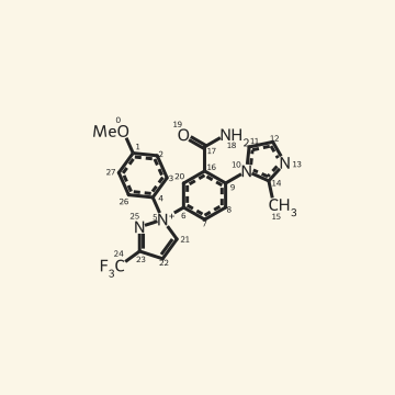 COc1ccc([N+]2(c3ccc(-n4ccnc4C)c(C(N)=O)c3)C=CC(C(F)(F)F)=N2)cc1